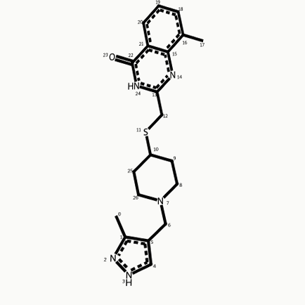 Cc1n[nH]cc1CN1CCC(SCc2nc3c(C)cccc3c(=O)[nH]2)CC1